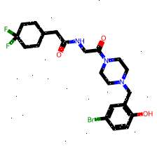 O=C(CC1CCC(F)(F)CC1)NCC(=O)N1CCN(Cc2cc(Br)ccc2O)CC1